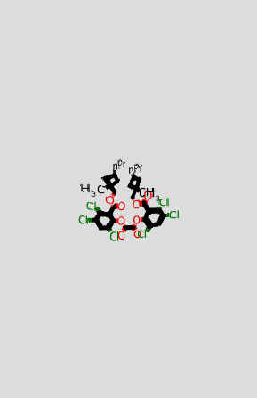 CCCC1CC(C)(COC(=O)c2c(Cl)c(Cl)cc(Cl)c2OC(=O)C(=O)Oc2c(Cl)cc(Cl)c(Cl)c2C(=O)OCC2(C)CC(CCC)C2)C1